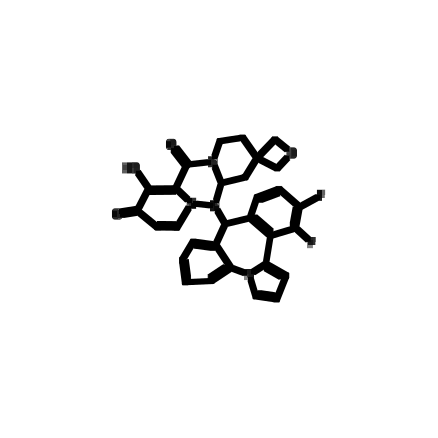 O=C1c2c(O)c(=O)ccn2N(C2c3ccccc3-n3cccc3-c3c2ccc(F)c3F)C2CC3(CCN12)COC3